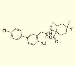 CC1CC(F)(F)CCC1(NC(=O)Cc1cc(-c2ccc(Cl)cc2)ccc1Cl)C(=O)O